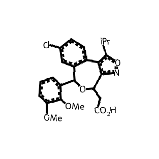 COc1cccc(C2OC(CC(=O)O)c3noc(C(C)C)c3-c3ccc(Cl)cc32)c1OC